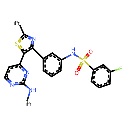 CC(C)Nc1nccc(-c2sc(C(C)C)nc2-c2cccc(NS(=O)(=O)c3cccc(F)c3)c2)n1